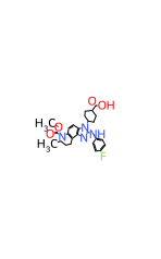 COC(=O)N1c2ccc3c(nc(Nc4ccc(F)cc4)n3C3CCC(C(=O)O)CC3)c2CCC1C